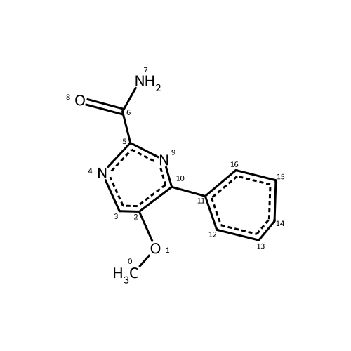 COc1cnc(C(N)=O)nc1-c1ccccc1